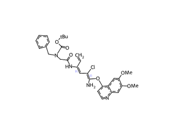 C=C/C(=C\C(Cl)=C(/N)Oc1ccnc2cc(OC)c(OC)cc12)NC(=O)CN(Cc1ccccc1)C(=O)OC(C)(C)C